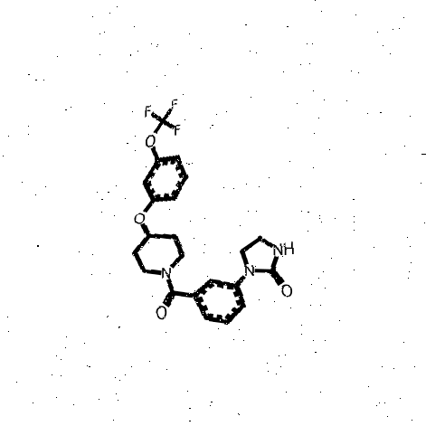 O=C(c1cccc(N2CCNC2=O)c1)N1CCC(Oc2cccc(OC(F)(F)F)c2)CC1